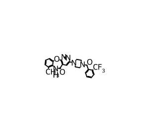 Cc1cccc2c1NC(=O)c1cc(N3CCN(C(=O)c4ccccc4C(F)(F)F)CC3)nnc1O2